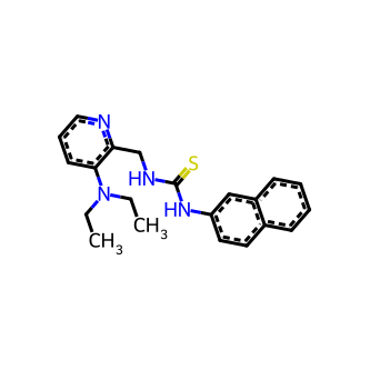 CCN(CC)c1cccnc1CNC(=S)Nc1ccc2ccccc2c1